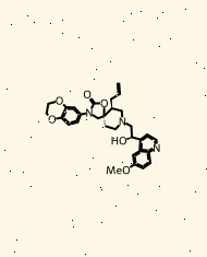 C=CC[C@H]1CN(C[C@H](O)c2ccnc3ccc(OC)cc23)CC[C@@]12CN(c1ccc3c(c1)OCCO3)C(=O)O2